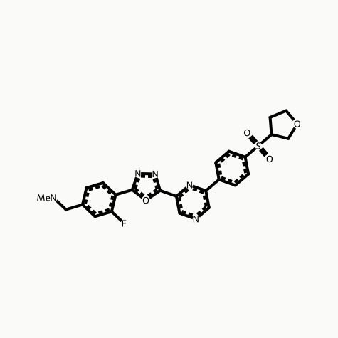 CNCc1ccc(-c2nnc(-c3cncc(-c4ccc(S(=O)(=O)C5CCOC5)cc4)n3)o2)c(F)c1